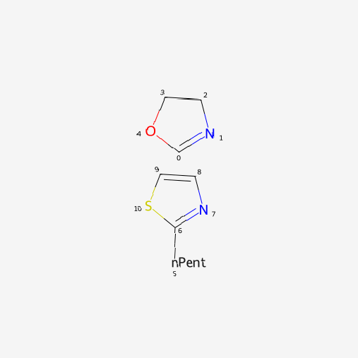 C1=NCCO1.CCCCCc1nccs1